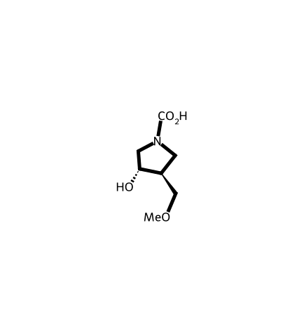 COC[C@@H]1CN(C(=O)O)C[C@H]1O